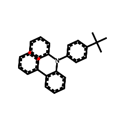 CC(C)(C)c1ccc(N(c2ccccc2)c2ccccc2-c2ccccc2)cc1